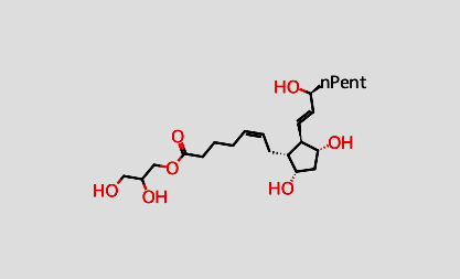 CCCCC[C@H](O)/C=C/[C@@H]1[C@@H](C/C=C\CCCC(=O)OCC(O)CO)[C@@H](O)C[C@H]1O